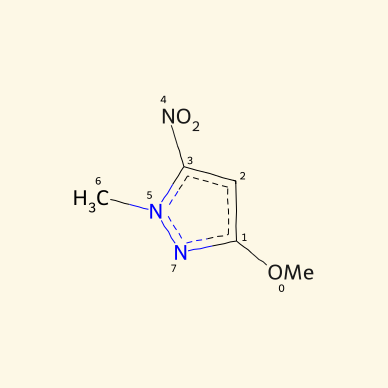 COc1cc([N+](=O)[O-])n(C)n1